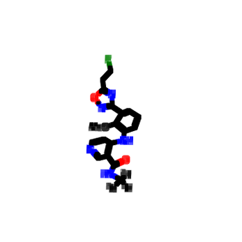 [2H]C([2H])([2H])NC(=O)c1cnccc1Nc1cccc(-c2noc(CCF)n2)c1OC